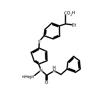 CCCCCCCN(C(=O)NCc1ccccc1)c1ccc(Sc2ccc(C(CC)C(=O)O)cc2)cc1